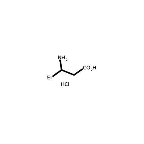 CCC(N)CC(=O)O.Cl